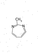 CC1=NC=CC=C=N1